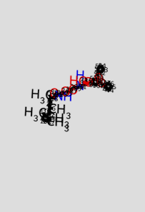 CC(C=C/C=C(C)/C=C/C1=C(C)CCCC1(C)C)=CC(=O)NCCOCCOCCNC[C@@H](O)COc1ccc(OCc2ccccc2)c(OCc2ccccc2)c1